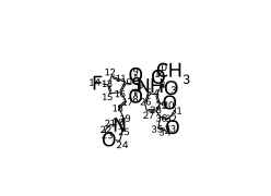 COC(=O)c1c(NS(=O)(=O)c2ccc(F)cc2C=CCN2CCOCC2)ccc2c1OCc1occc1-2